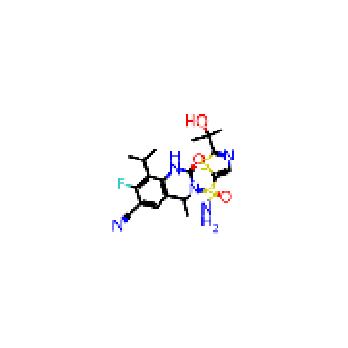 CC(C)c1cc(C#N)c(F)c(C(C)C)c1NC(=O)N=S(N)(=O)c1cnc(C(C)(C)O)s1